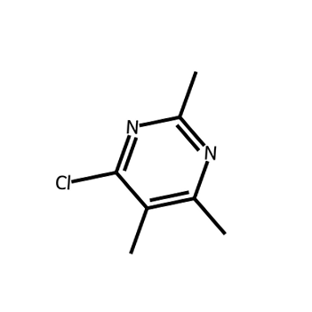 Cc1nc(C)c(C)c(Cl)n1